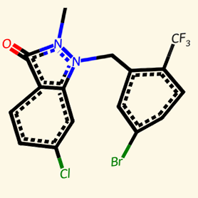 Cn1c(=O)c2ccc(Cl)cc2n1Cc1cc(Br)ccc1C(F)(F)F